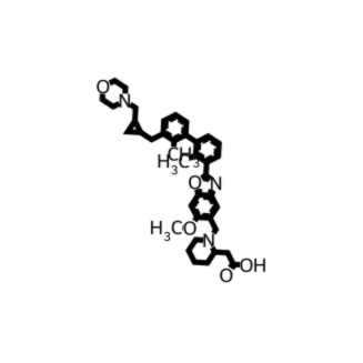 COc1cc2oc(-c3cccc(-c4cccc(CC5CC5CN5CCOCC5)c4C)c3C)nc2cc1CN1CCCCC1CC(=O)O